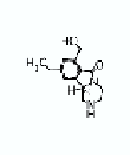 CCc1cc(CO)c2c(c1)[C@H]1CNCCN1C2=O